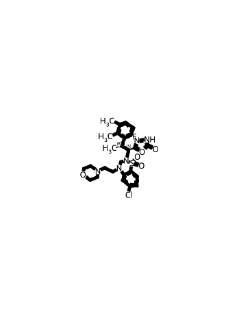 Cc1ccc(F)c([C@@H](C)[C@@H](c2n[nH]c(=O)o2)N2CN(CCN3CCOCC3)c3cc(Cl)ccc3S2(=O)=O)c1C